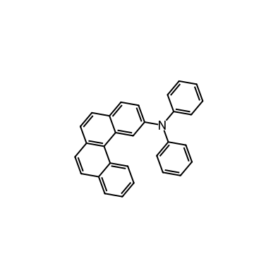 c1ccc(N(c2ccccc2)c2ccc3ccc4ccc5ccccc5c4c3c2)cc1